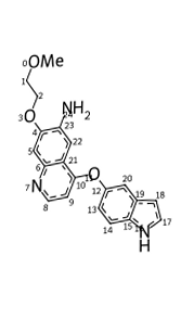 COCCOc1cc2nccc(Oc3ccc4[nH]ccc4c3)c2cc1N